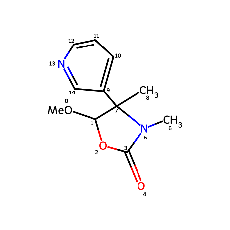 COC1OC(=O)N(C)C1(C)c1cccnc1